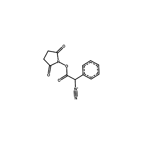 N#[N+]C(C(=O)ON1C(=O)CCC1=O)c1ccccc1